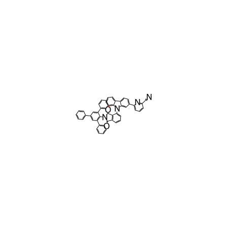 N#Cc1cccc(-c2ccc3c4ccccc4n(-c4cccc5c4C(=O)N(c4c(-c6ccccc6)cc(-c6ccccc6)cc4-c4ccccc4)C5=O)c3c2)n1